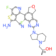 C[C@H](O)CN1CCCC2C1CCN2c1ncc2c3c(c(-c4ncc(F)c5sc(N)c(C#N)c45)c(F)c2n1)COC3